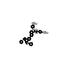 CC(C)(C)c1ccc(C2=NC3c4c(ccc5cc(-c6ccc7c(c6)c6ccn(-c8ccccc8)c6c6ccn(-c8ccccc8)c76)ccc45)N(c4ccc(C(C)(C)C)cc4)C3O2)cc1